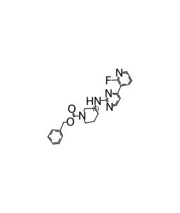 O=C(OCc1ccccc1)N1CCC[C@H](Nc2nccc(-c3cccnc3F)n2)C1